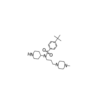 CN1CCN(CCCN(C2CCNCC2)S(=O)(=O)c2ccc(C(C)(C)C)cc2)CC1